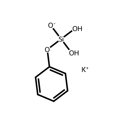 [K+].[O-][Si](O)(O)Oc1ccccc1